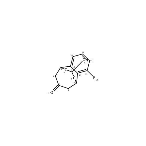 O=C1CC2CC(O)CC(C1)c1c(F)cccc12